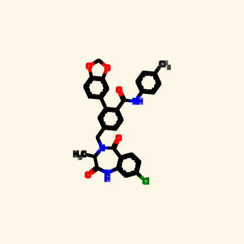 CC1C(=O)Nc2cc(Cl)ccc2C(=O)N1Cc1ccc(C(=O)Nc2ccc(C(F)(F)F)cc2)c(-c2ccc3c(c2)OCO3)c1